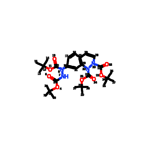 CC(C)(C)OC(=O)NN(C(=O)OC(C)(C)C)c1ccc2c(c1)N(C(=O)OC(C)(C)C)N(C(=O)OC(C)(C)C)C=C2